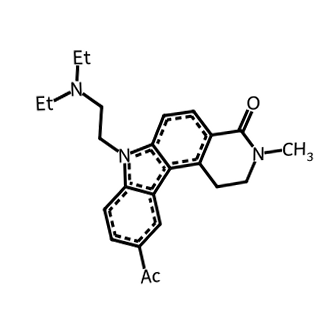 CCN(CC)CCn1c2ccc(C(C)=O)cc2c2c3c(ccc21)C(=O)N(C)CC3